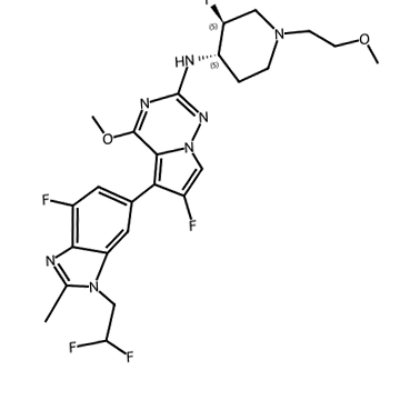 COCCN1CC[C@H](Nc2nc(OC)c3c(-c4cc(F)c5nc(C)n(CC(F)F)c5c4)c(F)cn3n2)[C@@H](F)C1